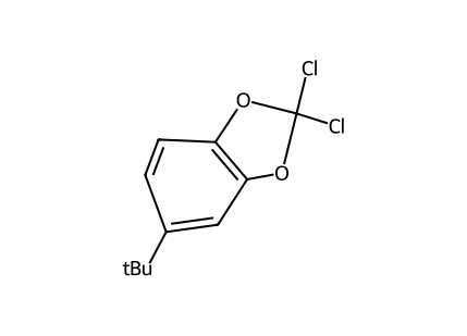 CC(C)(C)c1ccc2c(c1)OC(Cl)(Cl)O2